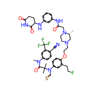 C[C@@H]1CN(CCOc2ccc(N(C=S)C(C)(C)C(=O)N(C)c3ccc(C#N)c(C(F)(F)F)c3)cc2CCF)CCN1CC(=O)Nc1cccc(NC2CCC(=O)NC2=O)c1